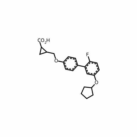 O=C(O)C1CC1COc1ccc(-c2cc(OC3CCCC3)ccc2F)cc1